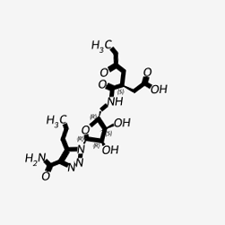 CCCc1c(C(N)=O)nnn1[C@@H]1O[C@H](CNC(=O)[C@H](CC(=O)O)CC(=O)CC)[C@@H](O)[C@H]1O